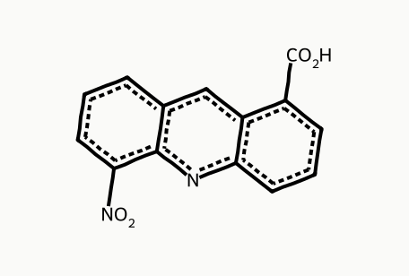 O=C(O)c1cccc2nc3c([N+](=O)[O-])cccc3cc12